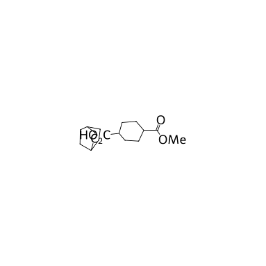 C1CC2CCC1CC2.COC(=O)C1CCC(C(=O)O)CC1